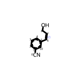 N#Cc1cccc(/C=C\CO)c1